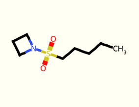 CCCCCS(=O)(=O)N1CCC1